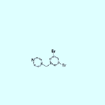 Brc1cc(Br)cc(Cc2ccncc2)c1